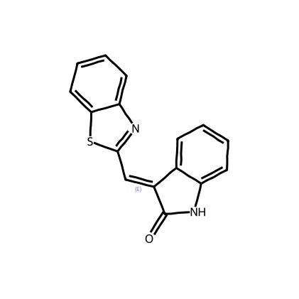 O=C1Nc2ccccc2/C1=C\c1nc2ccccc2s1